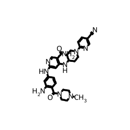 CN1CCN(C(=O)c2ccc(Nc3cc(NC4CCN(c5ccc(C#N)cn5)CC4)c(C(N)=O)cn3)cc2N)CC1